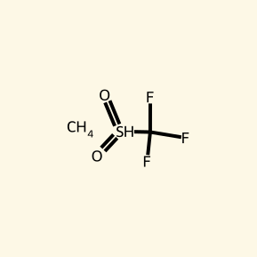 C.O=[SH](=O)C(F)(F)F